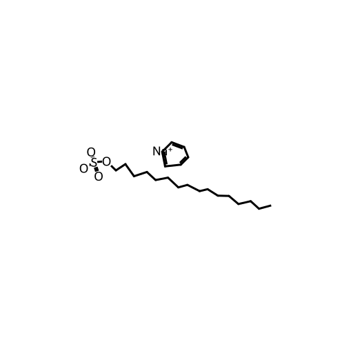 CCCCCCCCCCCCCCCCOS(=O)(=O)[O-].[Na+].c1ccccc1